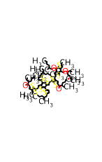 CCCCC(C)COc1c2cc(-c3sc(-c4cc5c(-c6ccc(CC(CC)CCCC)s6)c6sc(-c7sc(C)c8cc(C(=O)C(CC)CCCC)sc78)cc6c(-c6ccc(CC(CC)CCCC)s6)c5s4)c4sc(C(=O)C(CC)CCCC)cc34)sc2c(COC(CC)CCCC)c2cc(C)sc12